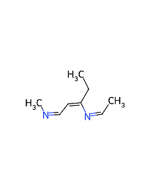 C\C=N/C(=C\C=N/C)CC